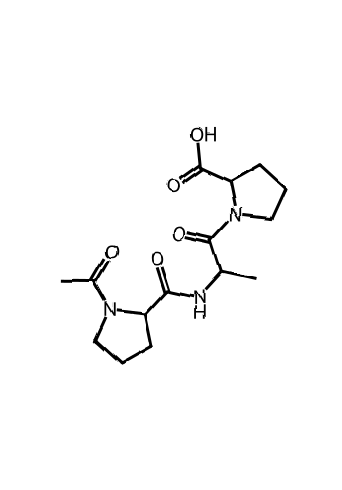 CC(=O)N1CCCC1C(=O)NC(C)C(=O)N1CCCC1C(=O)O